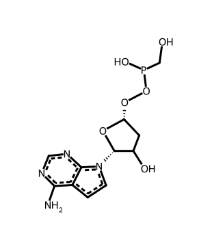 Nc1ncnc2c1ccn2[C@@H]1O[C@H](OOP(O)CO)CC1O